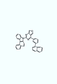 c1cc(-c2cccc3ccccc23)cc(-c2nc(-n3c4ccccc4c4c5ccccc5ccc43)nc3cocc23)c1